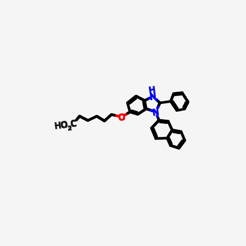 O=C(O)CCCCCOc1ccc2c(c1)N(c1ccc3ccccc3c1)C(c1ccccc1)N2